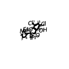 CCN1CCCC1CN(C(=O)c1c(O)c(Cl)cc(Cl)c1OC)C(C)C